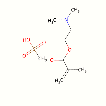 C=C(C)C(=O)OCCN(C)C.CS(=O)(=O)O